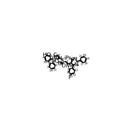 COP(=O)(C=Cc1c(-c2ccc(F)cc2)nc(-c2ccccc2)nc1C(C)C)C[C@H](CC(=O)O)O[Si](c1ccccc1)(c1ccccc1)C(C)(C)C